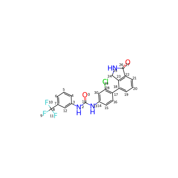 O=C(Nc1cccc(C(F)(F)F)c1)Nc1ccc(-c2cccc3c2CNC3=O)c(Cl)c1